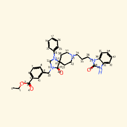 CCOC(=O)c1cccc(CN2CN(c3ccccc3)C3(CCN(CCCn4c(=O)[nH]c5ccccc54)CC3)C2=O)c1